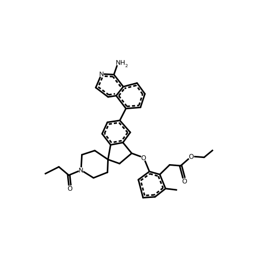 CCOC(=O)Cc1c(C)cccc1OC1CC2(CCN(C(=O)CC)CC2)c2ccc(-c3cccc4c(N)nccc34)cc21